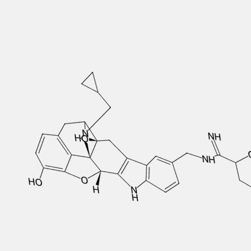 CCC(C)C(=N)NCc1ccc2[nH]c3c(c2c1)C[C@@]1(O)C2Cc4ccc(O)c5c4[C@@]1(CCN2CC1CC1)[C@H]3O5